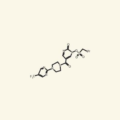 CC(C)CS(=O)(=O)On1cc(C(=O)N2CCN(c3ncc(C(F)(F)F)cn3)CC2)cnc1=O